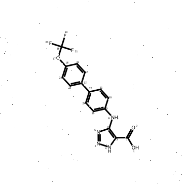 O=C(O)c1[nH]nnc1Nc1ccc(-c2ccc(OC(F)(F)F)cc2)cc1